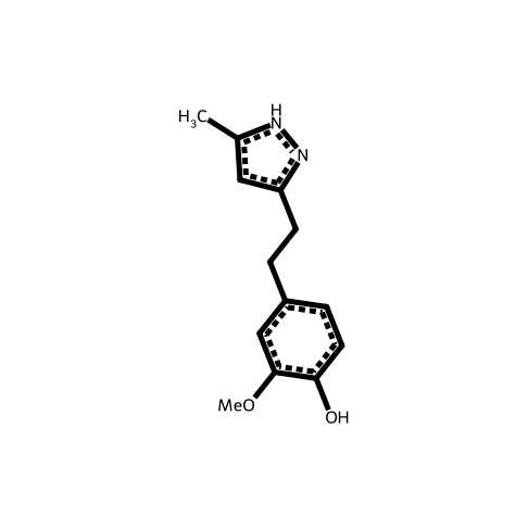 COc1cc(CCc2cc(C)[nH]n2)ccc1O